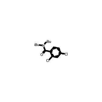 CCC(C)N(C(=O)c1ccc(Cl)cc1Cl)C(C)CC